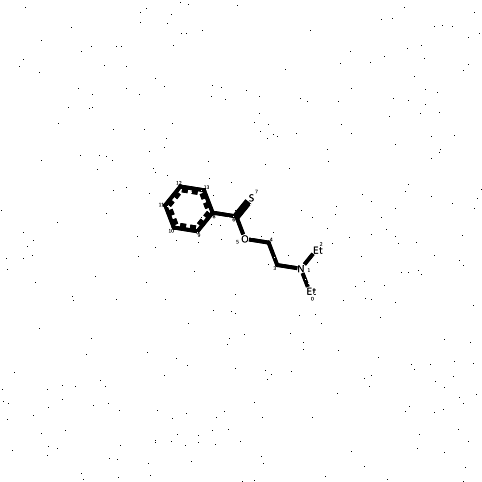 CCN(CC)CCOC(=S)c1ccccc1